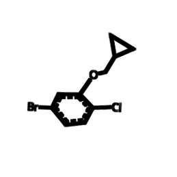 Clc1ccc(Br)cc1OCC1CC1